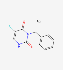 O=c1[nH]cc(F)c(=O)n1Cc1ccccc1.[Ag]